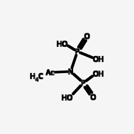 C.CC(=O)N(P(=O)(O)O)P(=O)(O)O